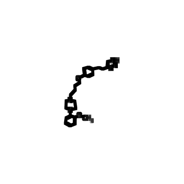 COc1ccccc1N1CCN(CCCCOc2ccc(CCc3c[nH]nn3)cc2)CC1